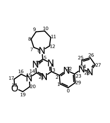 c1cc(-c2nc(N3CCCCCC3)nc(N3CCOCC3)n2)nc(-n2cccn2)c1